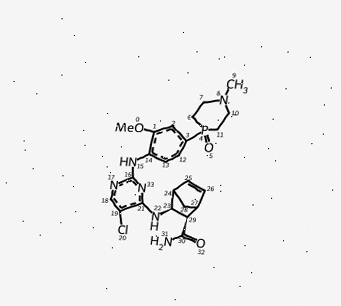 COc1cc(P2(=O)CCN(C)CC2)ccc1Nc1ncc(Cl)c(N[C@H]2C3C=CC(C3)[C@H]2C(N)=O)n1